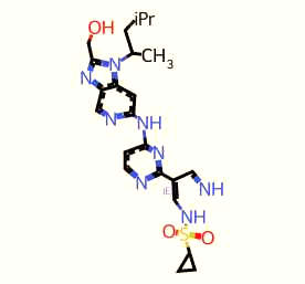 CC(C)CC(C)n1c(CO)nc2cnc(Nc3ccnc(/C(C=N)=C/NS(=O)(=O)C4CC4)n3)cc21